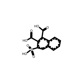 O=C(O)c1c(S(=O)(=O)O)[c]c2ccccc2c1C(=O)O